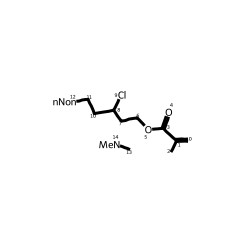 C=C(C)C(=O)OCCC(Cl)CCCCCCCCCCC.CNC